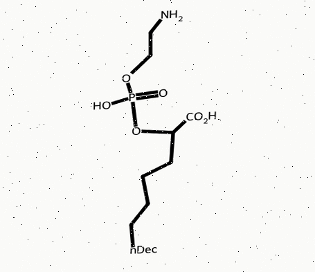 CCCCCCCCCCCCCCC(OP(=O)(O)OCCN)C(=O)O